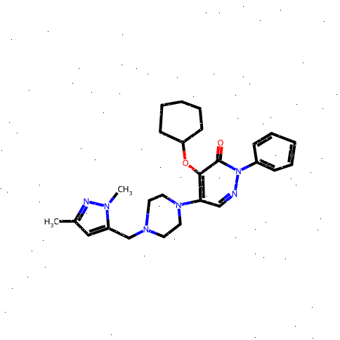 Cc1cc(CN2CCN(c3cnn(-c4ccccc4)c(=O)c3OC3CCCCC3)CC2)n(C)n1